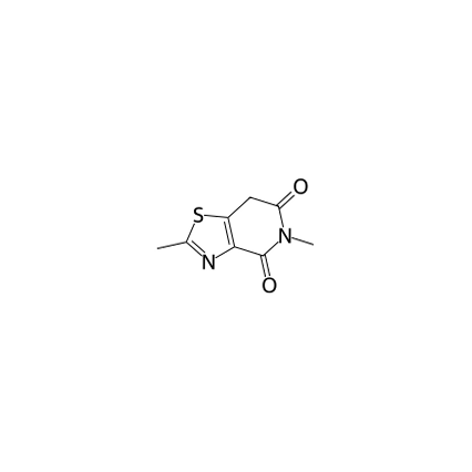 Cc1nc2c(s1)CC(=O)N(C)C2=O